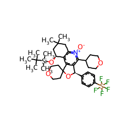 CC1(C)Cc2c(c3c(c(C4CCOCC4)[n+]2[O-])[C@@H](c2ccc(S(F)(F)(F)(F)F)cc2)OC32CCOCC2)[C@@H](O[Si](C)(C)C(C)(C)C)C1